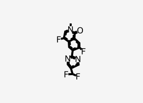 Cn1cc(F)c2cc(-c3ncc(C(F)F)cn3)c(F)cc2c1=O